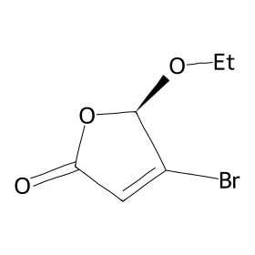 CCO[C@@H]1OC(=O)C=C1Br